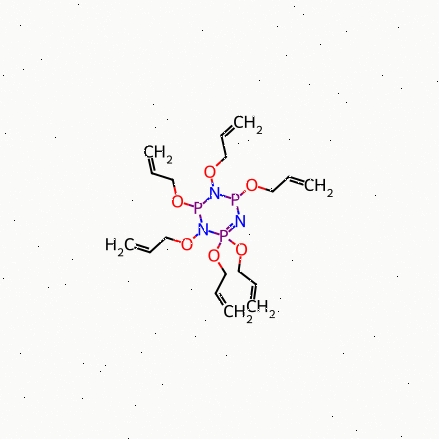 C=CCON1P(OCC=C)N=P(OCC=C)(OCC=C)N(OCC=C)P1OCC=C